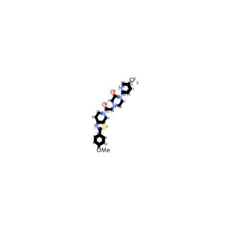 COc1ccc(-c2nc3c(s2)CN(C(=O)CN2CCN(c4ccc(C(F)(F)F)cn4)C(=O)C2)CC3)cc1